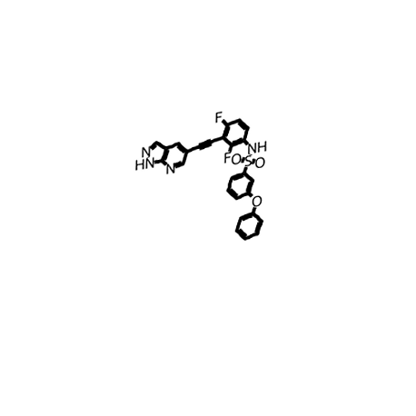 O=S(=O)(Nc1ccc(F)c(C#Cc2cnc3[nH]ncc3c2)c1F)c1cccc(Oc2ccccc2)c1